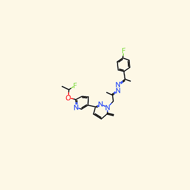 C=C1C=CC(c2ccc(OC(C)F)nc2)=NN1C/C(C)=N/N=C(\C)c1ccc(F)cc1